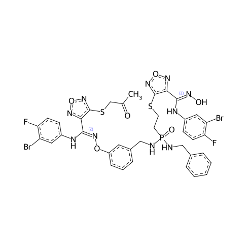 CC(=O)CSc1nonc1/C(=N/Oc1cccc(CNP(=O)(CCSc2nonc2/C(=N/O)Nc2ccc(F)c(Br)c2)NCc2ccccc2)c1)Nc1ccc(F)c(Br)c1